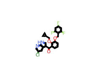 O=C(c1cccc(OCc2c(F)cc(F)cc2F)c1OCC1CC1)c1c[nH]c2ncc(Cl)cc12